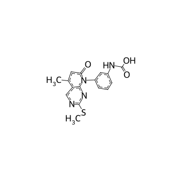 CSc1ncc2c(C)cc(=O)n(-c3cccc(NC(=O)O)c3)c2n1